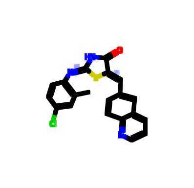 Cc1cc(Cl)ccc1/N=C1/NC(=O)/C(=C/c2ccc3ncccc3c2)S1